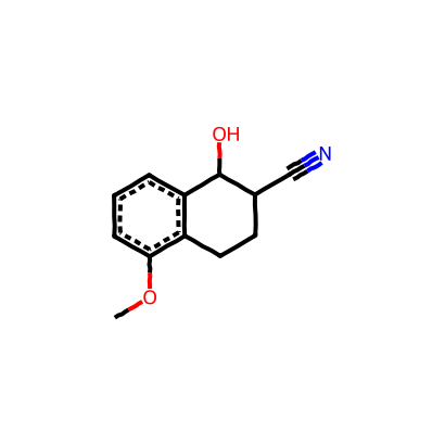 COc1cccc2c1CCC(C#N)C2O